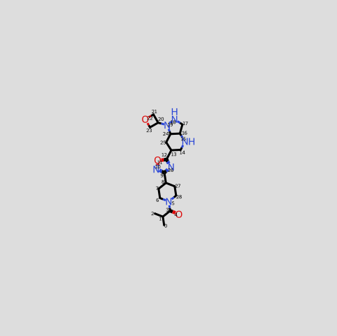 CC(C)C(=O)N1CCC(c2noc(C3CNC4CNN(C5COC5)C4C3)n2)CC1